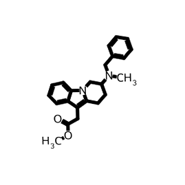 COC(=O)Cc1c2n(c3ccccc13)CC(N(C)Cc1ccccc1)CC2